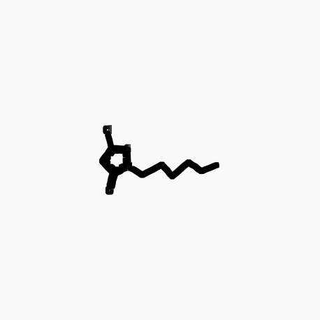 CCCCCCn1sc(Cl)cc1=O